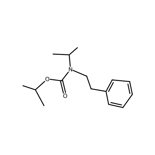 CC(C)OC(=O)N(CCc1ccccc1)C(C)C